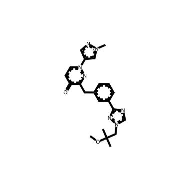 COC(C)(C)Cn1cnc(-c2cccc(Cc3nn(-c4cnn(C)c4)ccc3=O)c2)n1